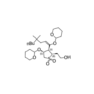 CCCCC(C)(C)CC=C(OC1CCCCO1)[C@H]1[C@@H](CCO)S(=O)(=O)C[C@H]1OC1CCCCO1